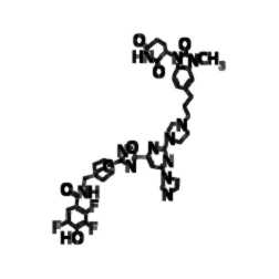 Cn1c(=O)n(C2CCC(=O)NC2=O)c2ccc(CCCN3CCN(c4nc(-c5nc([C@]67CC[C@](CNC(=O)c8cc(F)c(O)c(F)c8F)(CC6)CC7)no5)cc(-n5ccnc5)n4)CC3)cc21